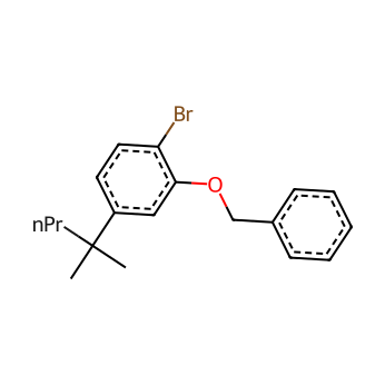 CCCC(C)(C)c1ccc(Br)c(OCc2ccccc2)c1